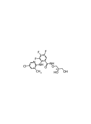 Cc1cc(Cl)cnc1Nc1c(C(=O)NOC[C@H](O)CO)cc(F)c(F)c1F